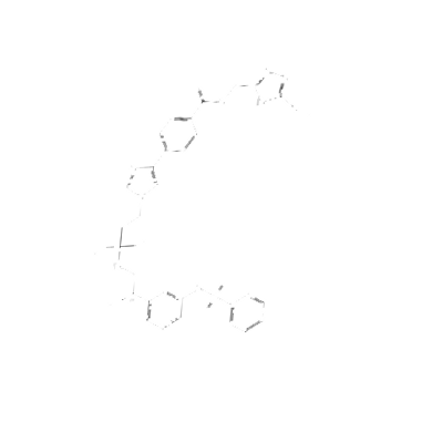 CC(C)(CCn1cnc(-c2ccc(C(=O)NCc3nnc(N)[nH]3)cc2)c1)NC[C@H](O)c1cccc(NS(=O)(=O)c2ccccc2)c1